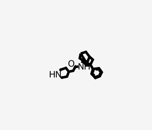 O=C(CC1CCNCC1)NC12CC3CC(C1)CC(c1ccccc1)(C3)C2